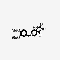 COc1ccc(CN2CCC3(CC2)NC(=O)NC3=O)cc1OCC(C)C